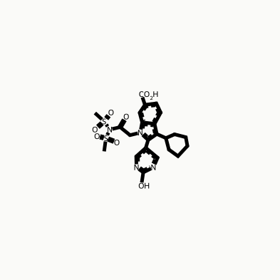 CS(=O)(=O)N(C(=O)Cn1c(-c2cnc(O)nc2)c(C2CCCCC2)c2ccc(C(=O)O)cc21)S(C)(=O)=O